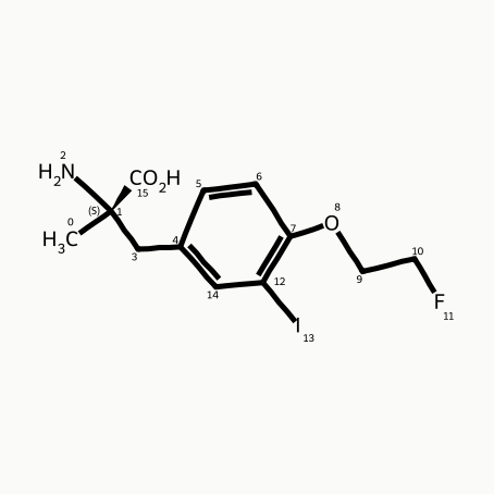 C[C@](N)(Cc1ccc(OCCF)c(I)c1)C(=O)O